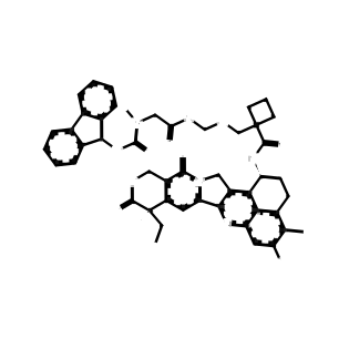 CC[C@@]1(O)C(=O)OCc2c1cc1n(c2=O)Cc2c-1nc1cc(F)c(C)c3c1c2[C@@H](NC(=O)C1(COCNC(=O)CN(C)C(=O)OC2c4ccccc4-c4ccccc42)CCC1)CC3